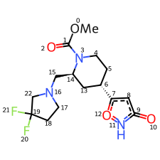 COC(=O)N1CC[C@H](c2cc(=O)[nH]o2)C[C@H]1CN1CCC(F)(F)C1